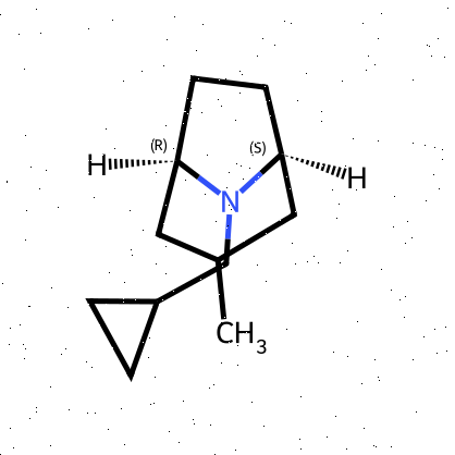 CC1C[C@H]2CC[C@@H](C1)N2CC1CC1